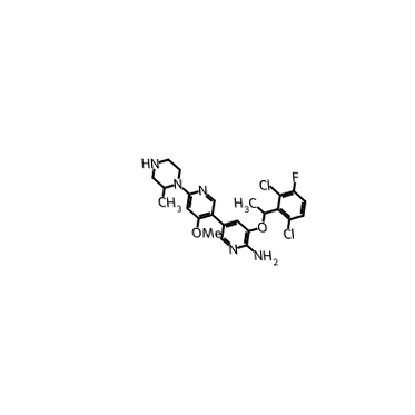 COc1cc(N2CCNCC2C)ncc1-c1cnc(N)c(OC(C)c2c(Cl)ccc(F)c2Cl)c1